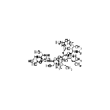 C=C(N)NCCC[C@@H](NC(=O)[C@H](CC(C)C)NC(=O)[C@@H](N)[C@H](O)C(C)C)C(=O)N[C@H](C(=O)N[C@@H](CO)C(=O)NCC(=O)N[C@@H](CO)C(=O)N[C@@H](CO)C(=O)O)[C@@H](C)CC